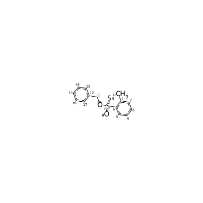 Cc1ccccc1S(=O)(=S)OCc1ccccc1